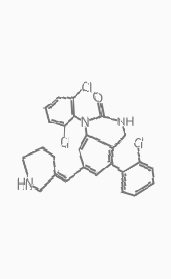 O=C1NCc2c(-c3ccccc3Cl)cc(C=C3CCCNC3)cc2N1c1c(Cl)cccc1Cl